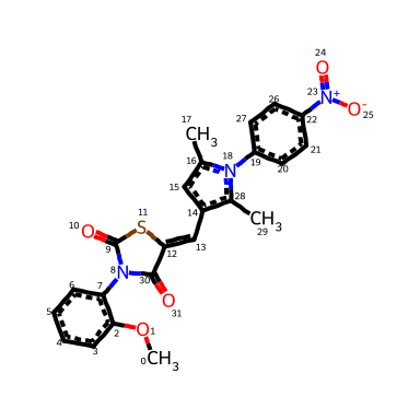 COc1ccccc1N1C(=O)S/C(=C\c2cc(C)n(-c3ccc([N+](=O)[O-])cc3)c2C)C1=O